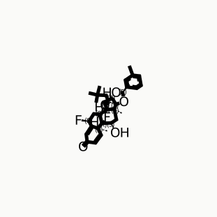 Cc1cccc([C@@H]2O[C@@H]3C[C@H]4[C@@H]5C[C@H](F)C6=CC(=O)C=C[C@]6(C)[C@@]5(F)[C@@H](O)C[C@]4(C)[C@]3(C(=O)CC(C)(C)C)O2)c1